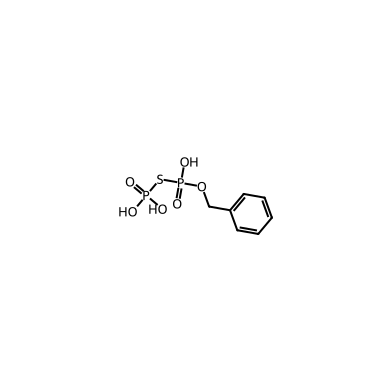 O=P(O)(O)SP(=O)(O)OCc1ccccc1